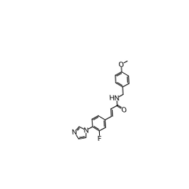 COc1ccc(CNC(=O)C=Cc2ccc(-n3ccnc3)c(F)c2)cc1